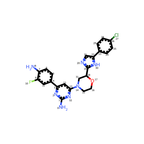 Nc1nc(-c2ccc(N)c(F)c2)cc(N2CCOC(c3ncc(-c4ccc(Cl)cc4)[nH]3)C2)n1